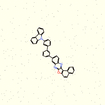 c1cc(-c2cccc(-n3c4ccccc4c4ccccc43)c2)cc(-c2ccc3nc4c(nc3c2)oc2ccc3ccccc3c24)c1